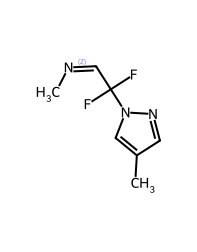 C/N=C\C(F)(F)n1cc(C)cn1